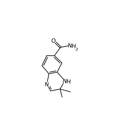 CC1(C)C=Nc2ccc(C(N)=O)cc2N1